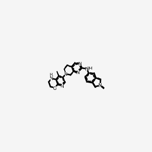 Cc1c(N2CCc3cnc(Nc4ccc5c(c4)CN(C)C5)nc3C2)cnc2c1NCCO2